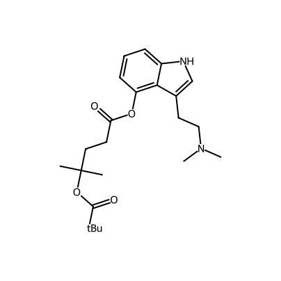 CN(C)CCc1c[nH]c2cccc(OC(=O)CCC(C)(C)OC(=O)C(C)(C)C)c12